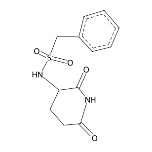 O=C1CCC(NS(=O)(=O)Cc2ccccc2)C(=O)N1